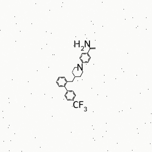 C=C(N)c1ccc(N2CCC(Cc3ccccc3-c3ccc(C(F)(F)F)cc3)CC2)cc1